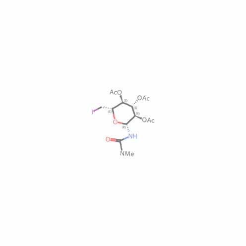 CNC(=O)N[C@@H]1O[C@H](CI)[C@@H](OC(C)=O)[C@H](OC(C)=O)[C@H]1OC(C)=O